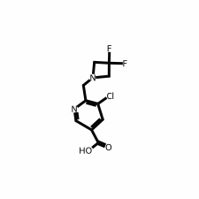 O=C(O)c1cnc(CN2CC(F)(F)C2)c(Cl)c1